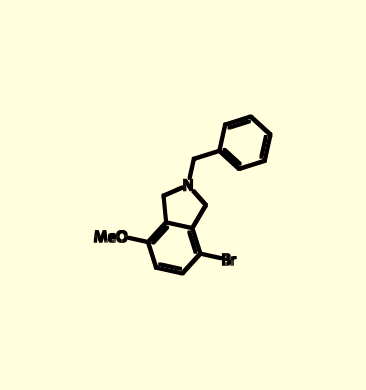 COc1ccc(Br)c2c1CN(Cc1ccccc1)C2